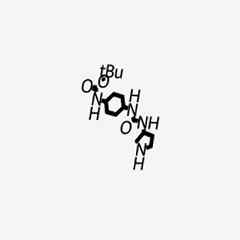 CC(C)(C)OC(=O)NC1CCC(NC(=O)NC2CCNC2)CC1